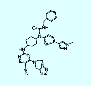 Cn1cc(-c2ccc(N(C(=O)NCc3ccccc3)C3CCC(Nc4ncc(C#N)c(N5CCn6ncnc6C5)n4)CC3)nc2)cn1